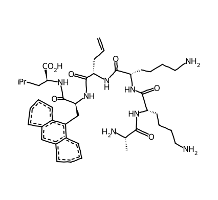 C=CC[C@H](NC(=O)[C@H](CCCCN)NC(=O)[C@H](CCCCN)NC(=O)[C@H](C)N)C(=O)N[C@@H](Cc1c2ccccc2cc2ccccc12)C(=O)N[C@@H](CC(C)C)C(=O)O